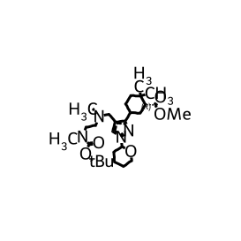 COC(=O)[C@@H]1CC(c2nn(C3CCCCO3)cc2CN(C)CCN(C)C(=O)OC(C)(C)C)CCC1(C)C